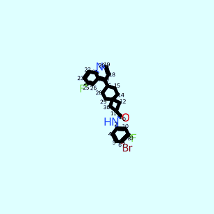 O=C(Nc1ccc(Br)c(F)c1)C1CC2(CCC(c3ccnc4ccc(F)cc34)CC2)C1